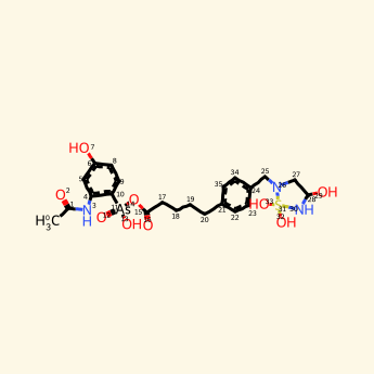 CC(=O)Nc1cc(O)ccc1[As](=O)(O)OC(=O)CCCCc1ccc(CN2CC(O)NS2(O)O)cc1